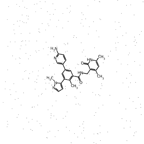 Cc1cc(C)c(CNC(=O)c2cc(-c3ccc(N)nc3)cc(-c3ccnn3C)c2C)c(=O)[nH]1